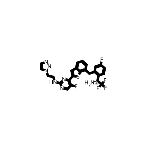 N[C@H](c1ccc(F)cc1Cc1cccc2cc(-c3nc(NCCn4ccnn4)ncc3F)sc12)C(F)(F)F